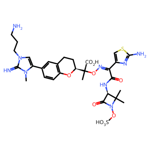 Cn1c(-c2ccc3c(c2)CC[C@@H](C(C)(O/N=C(\C(=O)N[C@@H]2C(=O)N(OS(=O)(=O)O)C2(C)C)c2csc(N)n2)C(=O)O)O3)cn(CCCN)c1=N